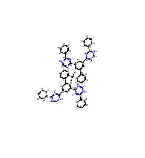 CC(C)(c1ccccc1-c1cc(-c2ncnc(-c3ccccc3)n2)cc(-c2ncnc(-c3ccccc3)n2)c1)c1ccccc1-c1cc(-c2ncnc(-c3ccccc3)n2)cc(-c2ncnc(-c3ccccc3)n2)c1